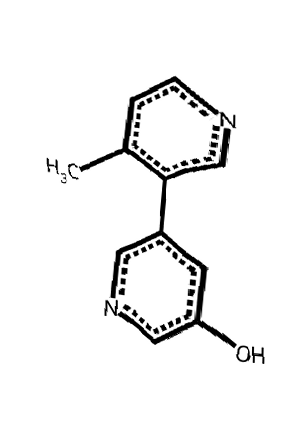 Cc1ccncc1-c1cncc(O)c1